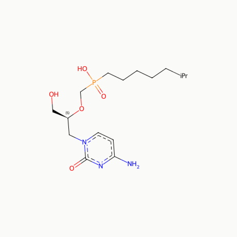 CC(C)CCCCCP(=O)(O)CO[C@H](CO)Cn1ccc(N)nc1=O